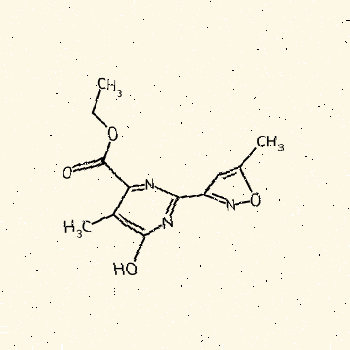 CCOC(=O)c1nc(-c2cc(C)on2)nc(O)c1C